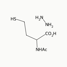 CC(=O)NC(CCS)C(=O)O.NN